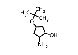 CC(C)(C)OC1CC(N)C(O)C1